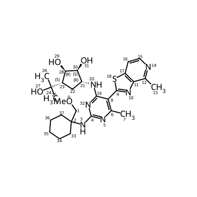 COCC1(Nc2nc(C)c(-c3nc4c(C)nccc4s3)c(N[C@@H]3C[C@H](C(C)(C)O)[C@@H](O)[C@H]3O)n2)CCCCC1